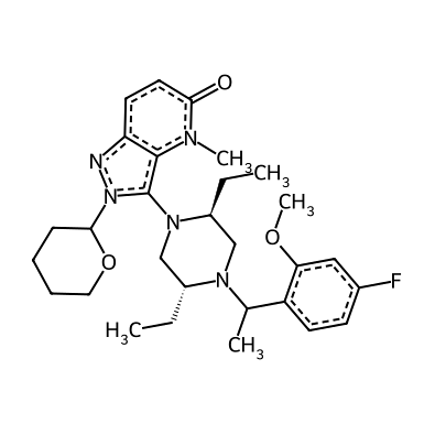 CC[C@H]1CN(C(C)c2ccc(F)cc2OC)[C@H](CC)CN1c1c2c(ccc(=O)n2C)nn1C1CCCCO1